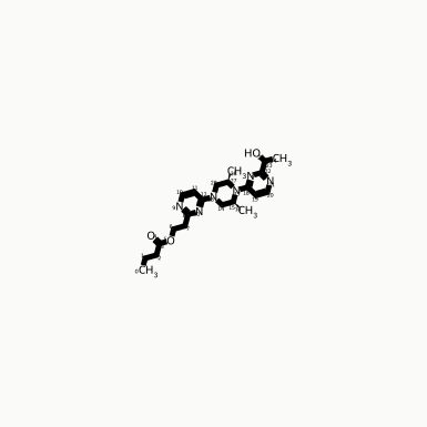 CCCC(=O)OCCc1nccc(N2C[C@@H](C)N(c3ccnc(C(C)O)n3)[C@@H](C)C2)n1